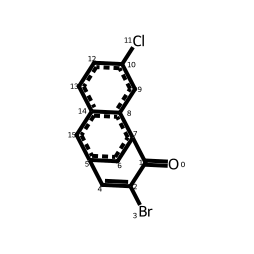 O=C1C(Br)=Cc2cc1c1cc(Cl)ccc1c2